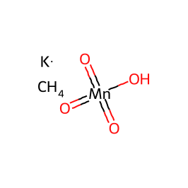 C.[K].[O]=[Mn](=[O])(=[O])[OH]